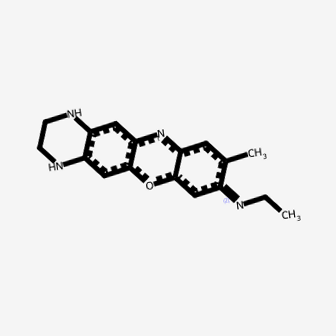 CC/N=c1/cc2oc3cc4c(cc3nc-2cc1C)NCCN4